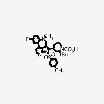 Cc1ccc(S(=O)(=O)n2c(C3=CCCN(C(=O)O)C(C(C)(C)C)C3)c3c4c(ccnc42)-c2cc(F)ccc2N(C)C3)cc1